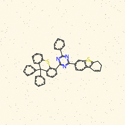 C1=Cc2c(sc3cc(-c4nc(-c5ccccc5)nc(-c5cccc6c5Sc5ccccc5C6(c5ccccc5)c5ccccc5)n4)ccc23)CC1